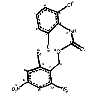 O=C(Nc1c(Cl)cccc1Cl)OCc1c(Br)cc([N+](=O)[O-])cc1Br